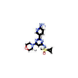 C[C@@H]1COCCN1c1cc(N=[S@@](C)(=O)C2CC2)nc(-c2ccc(N)nc2)n1